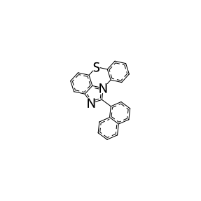 c1ccc2c(c1)Sc1cccc3nc(-c4cccc5ccccc45)n-2c13